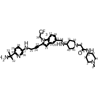 CN1CCC(NC(=O)CN2CCC(NCc3ccc4c(c3)cc(C#CCNc3ccc(C(C)(C)N)nc3)n4CC(F)(F)F)CC2)CC1